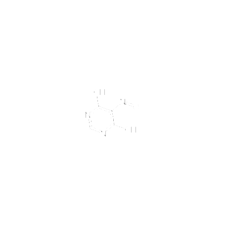 Cc1ncnc(C)c1N=O